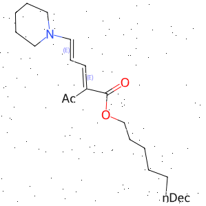 CCCCCCCCCCCCCCCOC(=O)/C(=C/C=C/N1CCCCC1)C(C)=O